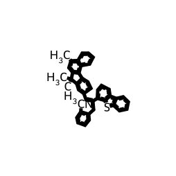 Cc1cc2c(c3ccccc13)-c1ccc(/C=C(/Cc3ccccc3C#N)c3cccc4c3sc3ccccc34)cc1C2(C)C